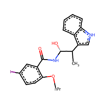 CCCOc1ccc(I)cc1C(=O)N[C@H](O)C(C)c1c[nH]c2ccccc12